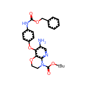 CC(C)(C)OC(=O)N1CCOc2c1ncc(N)c2Oc1ccc(NC(=O)OCc2ccccc2)cc1